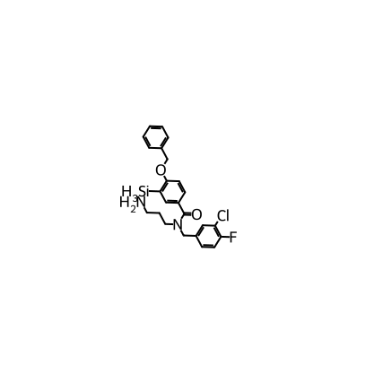 NCCCN(Cc1ccc(F)c(Cl)c1)C(=O)c1ccc(OCc2ccccc2)c([SiH3])c1